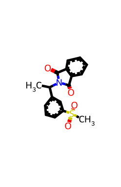 CC(c1cccc(S(C)(=O)=O)c1)N1C(=O)c2ccccc2C1=O